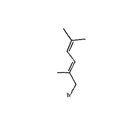 CC(C)=C/C=C(\C)CBr